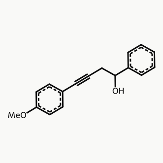 COc1ccc(C#CCC(O)c2ccccc2)cc1